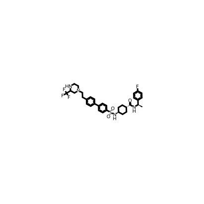 C[C@@H](NC(=O)[C@H]1CC[C@H](NS(=O)(=O)c2ccc(-c3ccc(CCN4CCNC(C(F)(F)F)C4)cc3)cc2)CC1)c1ccc(F)cc1